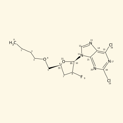 CCCCOC[C@@H]1CC(F)[C@H](n2cnc3c(Cl)nc(Cl)nc32)O1